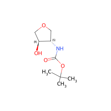 CC(C)(C)OC(=O)N[C@H]1COC[C@@H]1O